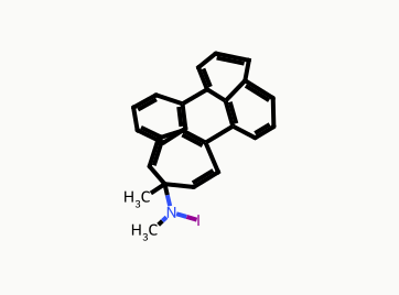 CN(I)C1(C)C=CC=C(c2cccc3cccc(-c4ccccc4)c23)C=C1